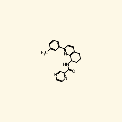 O=C(NC1CCCc2ccc(-c3cccc(C(F)(F)F)c3)nc21)c1cnccn1